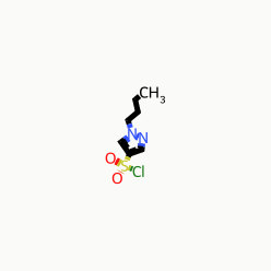 CCCCn1cc(S(=O)(=O)Cl)cn1